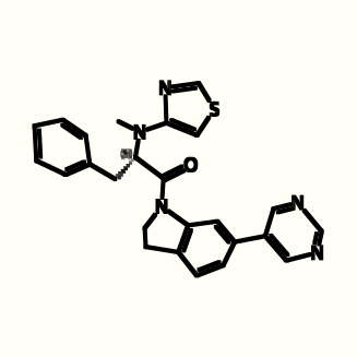 CN(c1cscn1)[C@@H](Cc1ccccc1)C(=O)N1CCc2ccc(-c3cncnc3)cc21